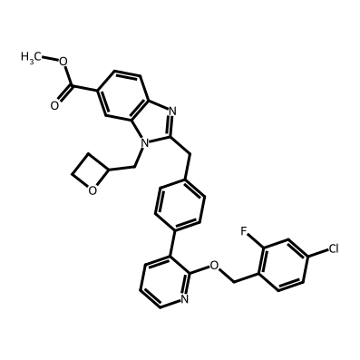 COC(=O)c1ccc2nc(Cc3ccc(-c4cccnc4OCc4ccc(Cl)cc4F)cc3)n(CC3CCO3)c2c1